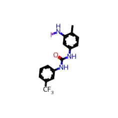 Cc1ccc(NC(=O)Nc2cccc(C(F)(F)F)c2)cc1NI